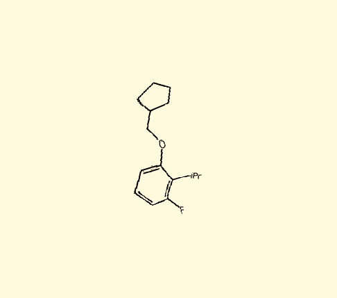 CC(C)c1c(F)cccc1OCC1CCCC1